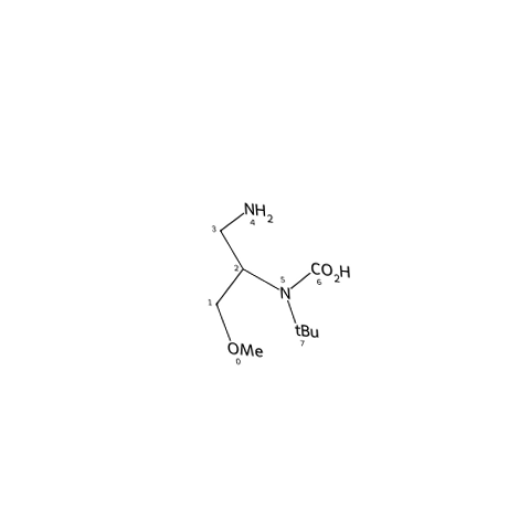 COCC(CN)N(C(=O)O)C(C)(C)C